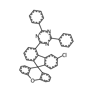 Clc1ccc2c(c1)-c1c(-c3nc(-c4ccccc4)nc(-c4ccccc4)n3)cccc1C21c2ccccc2Oc2ccccc21